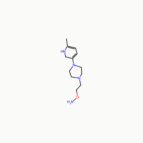 CC1=CC=C(N2CCN(CCON)CC2)CN1